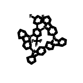 Fc1cc(F)cc(-c2cc(-n3c4ccccc4c4ccc(-n5c6ccccc6c6ccccc65)cc43)c(C(F)(F)F)cc2-n2c3ccccc3c3ccc(-n4c5ccccc5c5ccccc54)cc32)c1